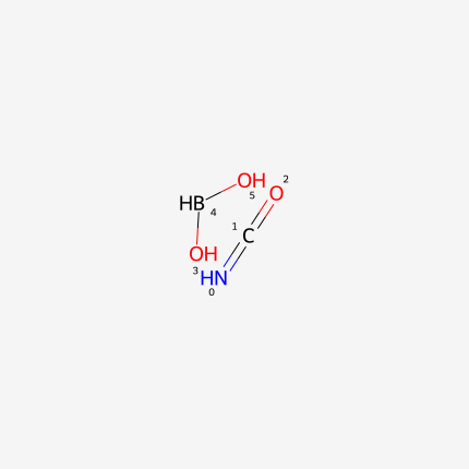 N=C=O.OBO